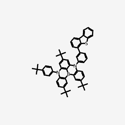 CC(C)(C)c1ccc(N2c3ccc(C(C)(C)C)cc3B3c4cc(C(C)(C)C)ccc4N(c4cccc(-c5cccc6c5sc5ccccc56)c4)c4cc(C(C)(C)C)cc2c43)cc1